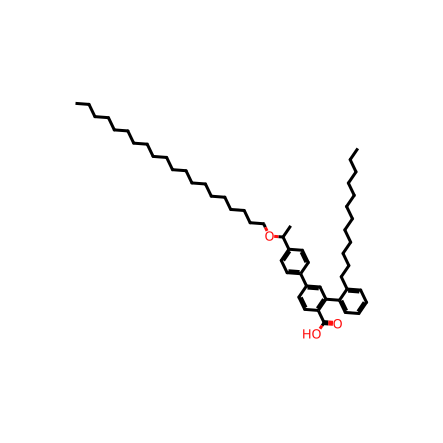 CCCCCCCCCCCCCCCCCCCCOC(C)c1ccc(-c2ccc(C(=O)O)c(-c3ccccc3CCCCCCCCCCCC)c2)cc1